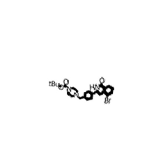 CC(C)(C)OC(=O)N1CCN(Cc2ccc(-c3cc4c(Br)cccc4c(=O)[nH]3)cc2)CC1